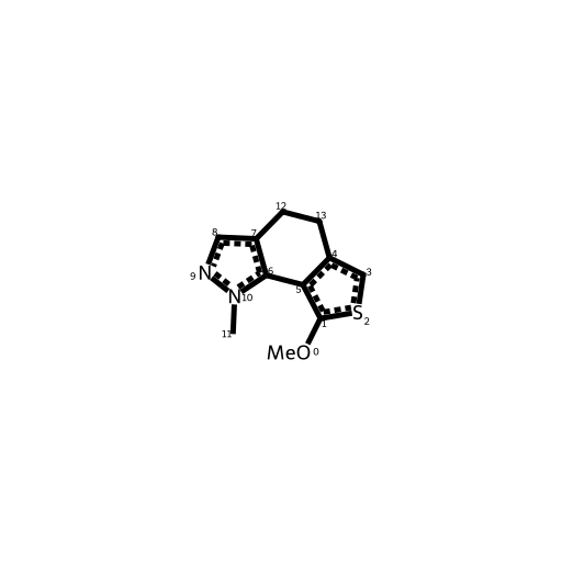 COc1scc2c1-c1c(cnn1C)CC2